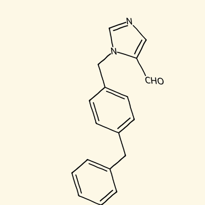 O=Cc1cncn1Cc1ccc(Cc2ccccc2)cc1